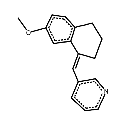 COc1ccc2c(c1)/C(=C/c1cccnc1)CCC2